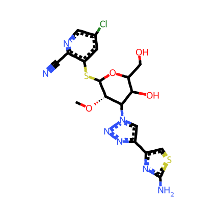 CO[C@@H]1C(Sc2cc(Cl)cnc2C#N)OC(CO)C(O)C1n1cc(-c2csc(N)n2)nn1